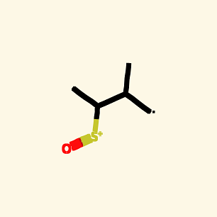 [CH2]C(C)C(C)[S+]=O